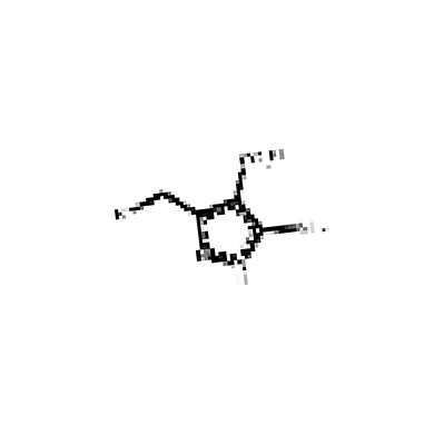 CCOC(=O)c1c(CBr)n[nH]c1N